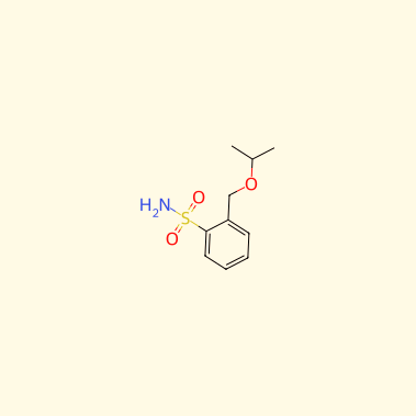 CC(C)OCc1ccccc1S(N)(=O)=O